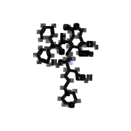 COc1c(C)c2c(c(NC(=O)N(c3ccccc3)c3ccccc3)c1C/C=C(\C)C(CCCN1CCOCC1)CC(=O)O)C(=O)OC2